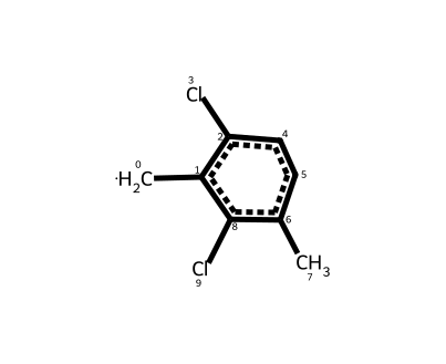 [CH2]c1c(Cl)ccc(C)c1Cl